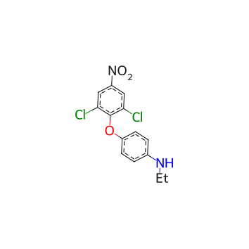 CCNc1ccc(Oc2c(Cl)cc([N+](=O)[O-])cc2Cl)cc1